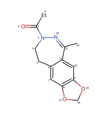 CCC(=O)N1CCc2cc3c(cc2C(C)=N1)OCO3